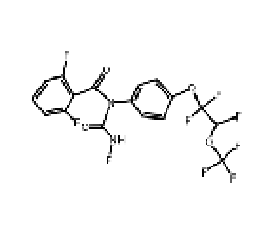 O=C(NF)N(C(=O)c1c(F)cccc1F)c1ccc(OC(F)(F)C(F)OC(F)(F)F)cc1